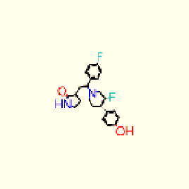 O=C1NCC[C@@H]1CC(c1ccc(F)cc1)N1CC[C@@H](c2ccc(O)cc2)[C@H](F)C1